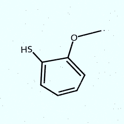 [CH2]Oc1ccccc1S